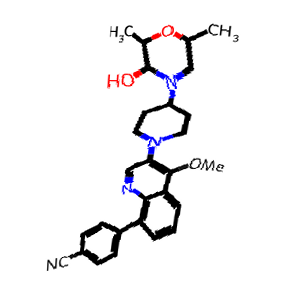 COc1c(N2CCC(N3CC(C)OC(C)C3O)CC2)cnc2c(-c3ccc(C#N)cc3)cccc12